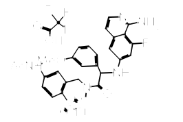 CCS(=O)(=O)c1ccc(NC(C)=O)cc1CN(C)C(=O)C(Nc1cc(F)c2c(N)nccc2c1)c1cccc(OC)c1.O=C(O)C(F)(F)F